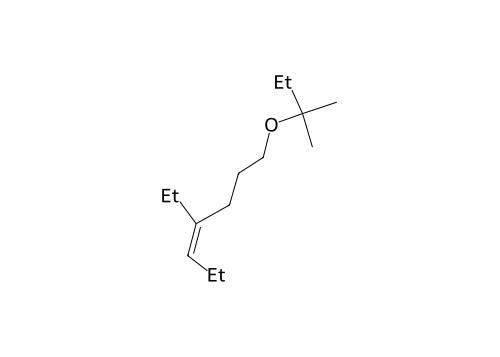 CC/C=C(/CC)CCCOC(C)(C)CC